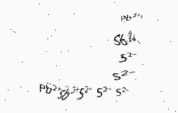 [Pb+2].[Pb+2].[S-2].[S-2].[S-2].[S-2].[S-2].[Sb+3].[Sb+3]